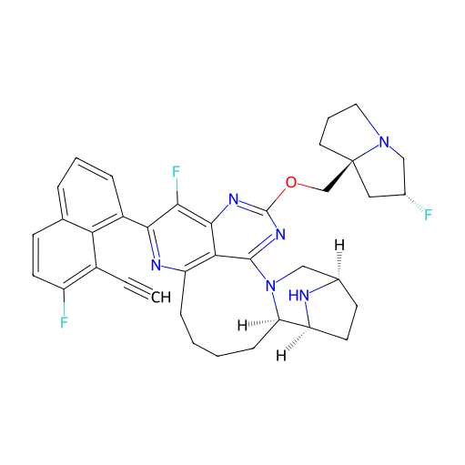 C#Cc1c(F)ccc2cccc(-c3nc4c5c(nc(OC[C@@]67CCCN6C[C@H](F)C7)nc5c3F)N3C[C@H]5CC[C@H](N5)[C@H]3CCCC4)c12